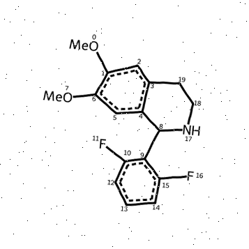 COc1cc2c(cc1OC)C(c1c(F)cccc1F)NCC2